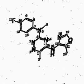 Cc1nnc(N(C)c2ccc(F)cc2)nc1Nc1ncoc1C